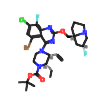 C=C[C@@H]1[C@H](CC)N(C(=O)OC(C)(C)C)CCN1c1nc(OC[C@@]23CCCN2C[C@H](F)C3)nc2c(F)c(Cl)cc(Br)c12